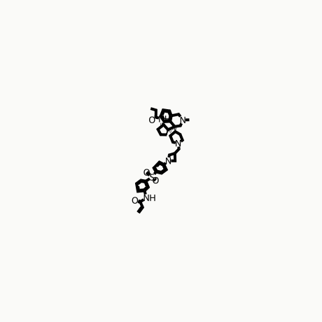 C=CC(=O)Nc1cccc(S(=O)(=O)c2ccc(N3CC(CN4CCC([C@@]5([C@H]6CCC[C@@H]6NC(=O)CC)CN(C)Cc6ccccc65)CC4)C3)cc2)c1